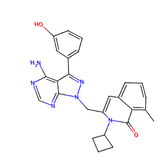 Cc1cccc2cc(Cn3nc(-c4cccc(O)c4)c4c(N)ncnc43)n(C3CCC3)c(=O)c12